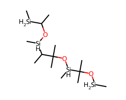 C[SiH2]OC(C)(C)[SiH](C)OC(C)(C)C(C)[SiH](C)OC(C)[SiH2]C